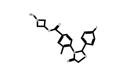 Cc1cc(C(=O)OC2CN(C(C)(C)C)C2)ccc1N1C(=O)CSC1c1ccc(F)cc1